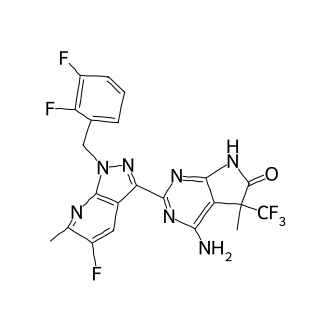 Cc1nc2c(cc1F)c(-c1nc(N)c3c(n1)NC(=O)C3(C)C(F)(F)F)nn2Cc1cccc(F)c1F